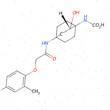 Cc1cc(F)ccc1OCC(=O)NC12CCC(NC(=O)O)(CC1)[C@@H](O)C2